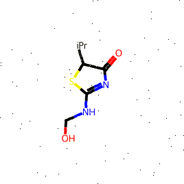 CC(C)C1SC(NCO)=NC1=O